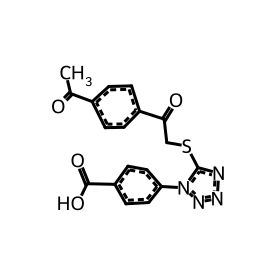 CC(=O)c1ccc(C(=O)CSc2nnnn2-c2ccc(C(=O)O)cc2)cc1